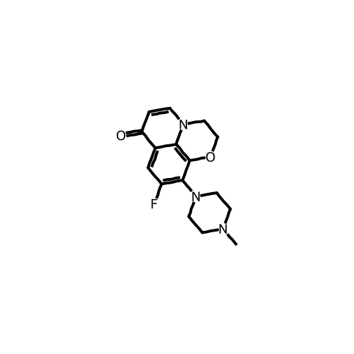 CN1CCN(c2c(F)cc3c(=O)ccn4c3c2OCC4)CC1